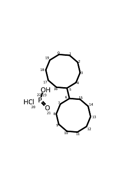 C1CCCCC(C2CCCCCCCCC2)CCCC1.Cl.O=PO